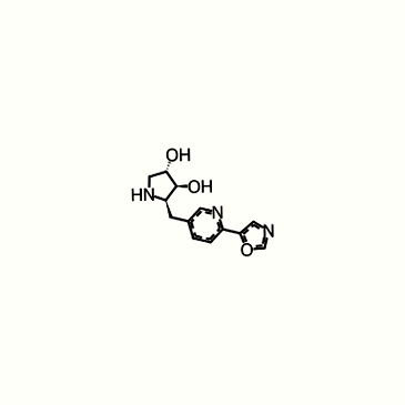 O[C@@H]1[C@@H](O)CN[C@@H]1Cc1ccc(-c2cnco2)nc1